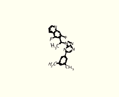 Cc1cc(C)cc(-c2cnc3ncn(C(C)c4c(F)cc5ncccc5c4F)c3n2)c1